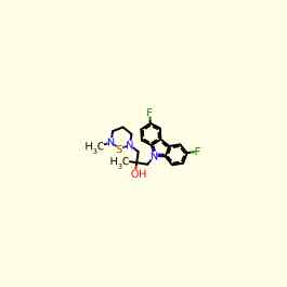 CN1CCCN(CC(C)(O)Cn2c3ccc(F)cc3c3cc(F)ccc32)S1